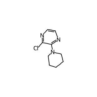 Clc1nccnc1N1CCCCC1